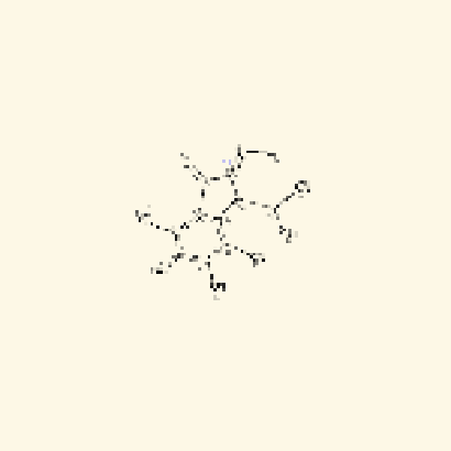 C/C=C1/C(=O)c2c(C#N)c(C#N)c(C#N)c(C#N)c2C1C(C#N)C#N